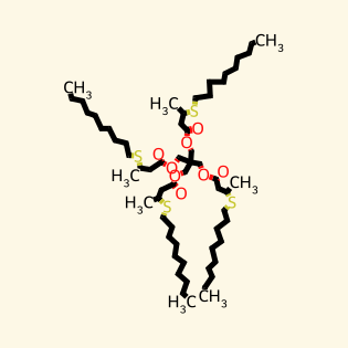 CCCCCCCCCCSC(C)CC(=O)OCC(COC(=O)CC(C)SCCCCCCCCCC)(COC(=O)CC(C)SCCCCCCCCCC)COC(=O)CC(C)SCCCCCCCCCC